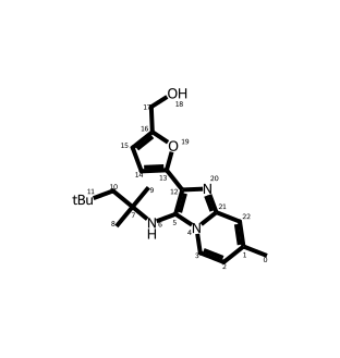 Cc1ccn2c(NC(C)(C)CC(C)(C)C)c(-c3ccc(CO)o3)nc2c1